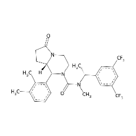 Cc1cccc(C2[C@@H]3CCC(=O)N3CCN2C(=O)N(C)[C@H](C)c2cc(C(F)(F)F)cc(C(F)(F)F)c2)c1C